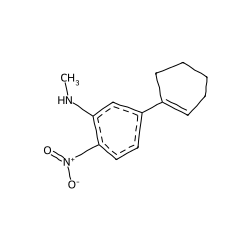 CNc1cc(C2=CCCCC2)ccc1[N+](=O)[O-]